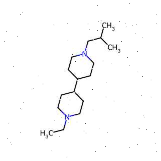 CCN1CCC(C2CCN(CC(C)C)CC2)CC1